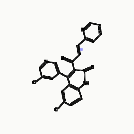 O=C(/C=C/c1ccccn1)c1c(-c2cncc(Cl)c2)c2cc(Cl)ccc2[nH]c1=O